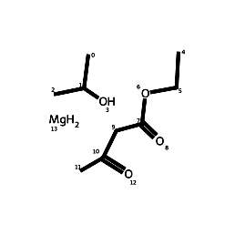 CC(C)O.CCOC(=O)CC(C)=O.[MgH2]